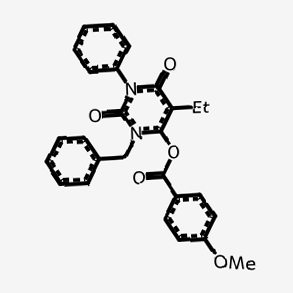 CCc1c(OC(=O)c2ccc(OC)cc2)n(Cc2ccccc2)c(=O)n(-c2ccccc2)c1=O